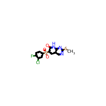 CSc1ncc2cc(S(=O)(=O)c3ccc(F)c(Cl)c3)c(=O)[nH]c2n1